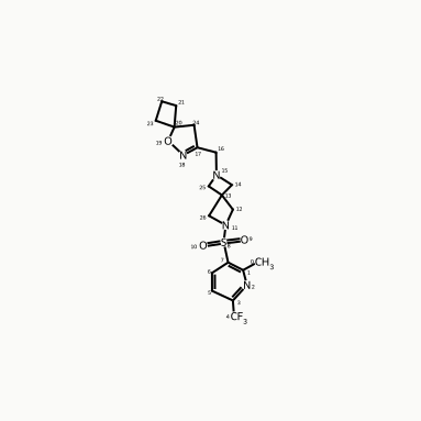 Cc1nc(C(F)(F)F)ccc1S(=O)(=O)N1CC2(CN(CC3=NOC4(CCC4)C3)C2)C1